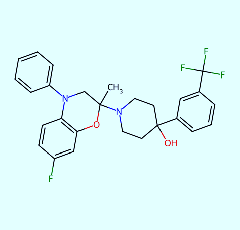 CC1(N2CCC(O)(c3cccc(C(F)(F)F)c3)CC2)CN(c2ccccc2)c2ccc(F)cc2O1